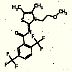 COCCn1c(C)c(C)sc1=NC(=O)c1cc(C(F)(F)F)ccc1C(F)(F)F